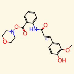 COc1cc(/C=C/C(=O)Nc2ccccc2C(=O)ON2CCOCC2)ccc1O